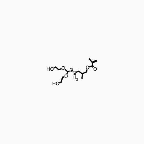 C=C(C)C(=O)OCC(C)C[SiH2]OC(OCCO)OCCO